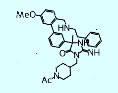 COc1ccc(CNCCc2ccccc2)c(-c2cccc(C3(C)NC(=N)N(CC4CCN(C(C)=O)CC4)C3=O)c2)c1